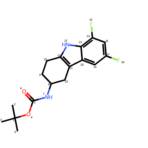 CC(C)(C)OC(=O)NC1CCc2[nH]c3c(F)cc(F)cc3c2C1